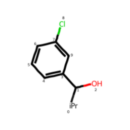 CC(C)C(O)c1cccc(Cl)c1